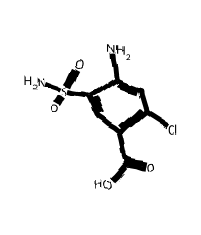 Nc1cc(Cl)c(C(=O)O)cc1S(N)(=O)=O